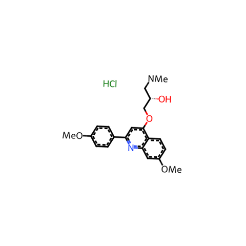 CNC[C@H](O)COc1cc(-c2ccc(OC)cc2)nc2cc(OC)ccc12.Cl